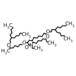 C=C(CCCCCOC(CCCCCCCC(=O)OCCC(CCCCC)CCCCC)C(=O)N(CC)CCCCCCCC)OCCC(CCCCC)CCCCC